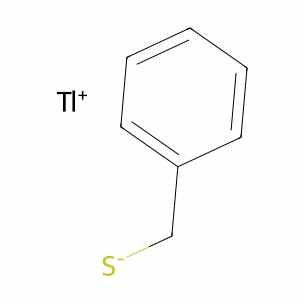 [S-]Cc1ccccc1.[Tl+]